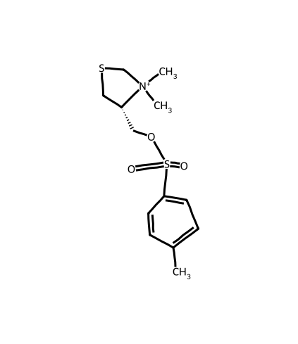 Cc1ccc(S(=O)(=O)OC[C@@H]2CSC[N+]2(C)C)cc1